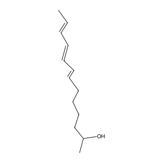 C/C=C/C=C/C=C/CCCCC(C)O